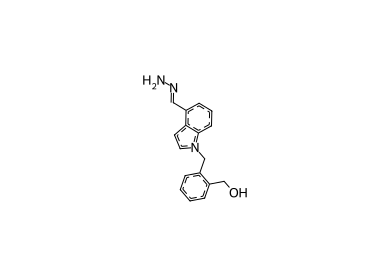 NN=Cc1cccc2c1ccn2Cc1ccccc1CO